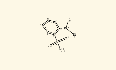 CCNCC.NS(=O)(=O)c1ccccc1